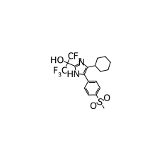 CS(=O)(=O)c1ccc(-c2[nH]c(C(O)(C(F)(F)F)C(F)(F)F)nc2C2CCCCC2)cc1